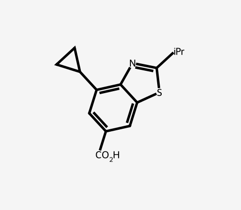 CC(C)c1nc2c(C3CC3)cc(C(=O)O)cc2s1